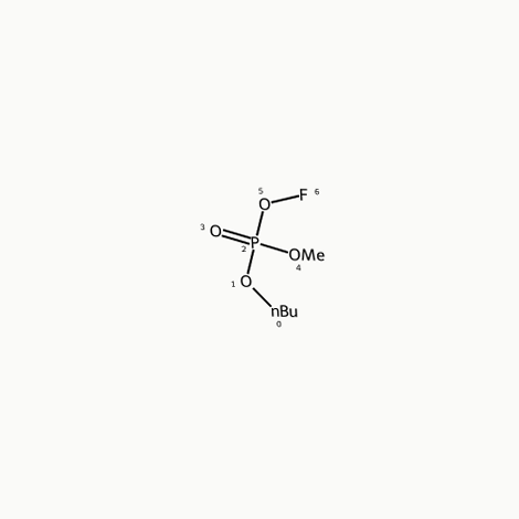 CCCCOP(=O)(OC)OF